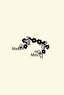 COC(=O)N[C@H]1CC[C@@H](C(=O)N2CCC[C@H]2c2ncc(-c3ccc(-c4ccc(-c5cnc([C@@H]6CCCN6C(=O)[C@@H]6CC[C@H](NC(O)OC)C6)[nH]5)cc4)cc3)[nH]2)C1